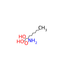 CCCCCCCC(N)C(O)C(=O)O